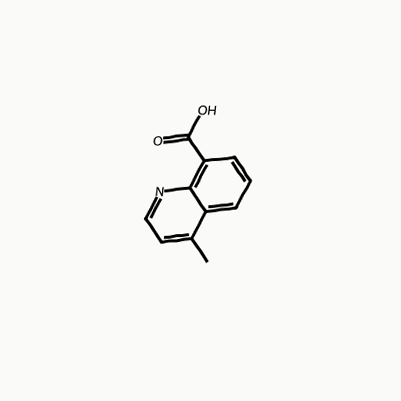 Cc1ccnc2c(C(=O)O)cccc12